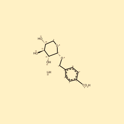 O=C(O)c1ccc(CO[C@H]2OC[C@@H](O)[C@H](O)[C@H]2O)cc1.[LiH]